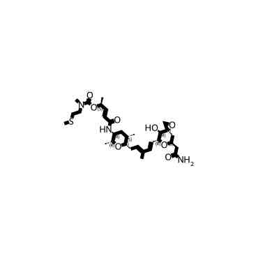 CSCCN(C)C(=O)O[C@@H](C)C=CC(=O)N[C@@H]1C[C@H](C)[C@H](CC=C(C)C=C[C@H]2O[C@H](CC(N)=O)C[C@@]3(CO3)[C@@H]2O)O[C@@H]1C